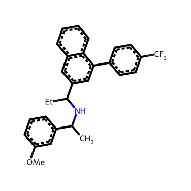 CCC(NC(C)c1cccc(OC)c1)c1cc(-c2ccc(C(F)(F)F)cc2)c2ccccc2c1